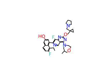 CCc1c(F)ccc2cc(O)cc(-c3ncc4c(N5CCOCC(C)C5)nc(OCC5(CN6CCCC6)CC5)nc4c3F)c12